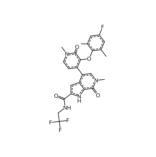 Cc1cc(F)cc(C)c1Oc1c(-c2cn(C)c(=O)c3[nH]c(C(=O)NCC(F)(F)F)cc23)ccn(C)c1=O